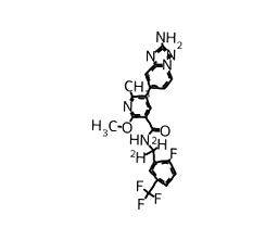 [2H]C([2H])(NC(=O)c1cc(-c2ccn3nc(N)nc3c2)c(C)nc1OC)c1cc(C(F)(F)F)ccc1F